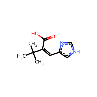 CC(C)(C)C(=Cc1c[nH]cn1)C(=O)O